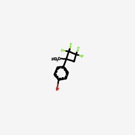 O=C(O)C1(c2ccc(Br)cc2)CC(F)(F)C1(F)F